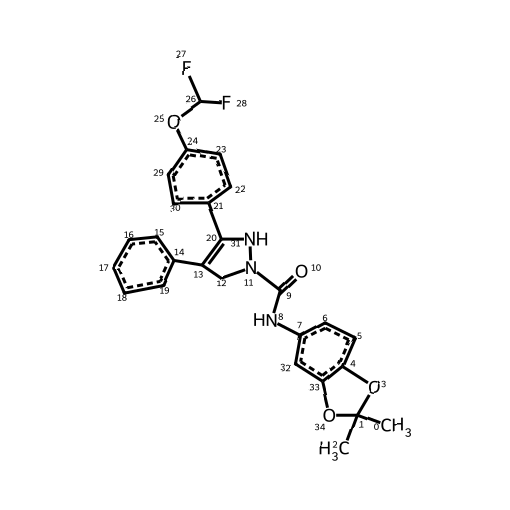 CC1(C)Oc2ccc(NC(=O)N3CC(c4ccccc4)=C(c4ccc(OC(F)F)cc4)N3)cc2O1